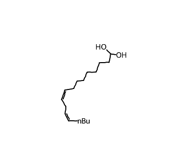 CCCC/C=C\C/C=C\CCCCCCCC(O)O